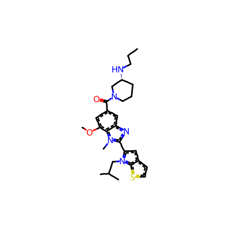 CCCN[C@@H]1CCCN(C(=O)c2cc(OC)c3c(c2)nc(-c2cc4ccsc4n2CC(C)C)n3C)C1